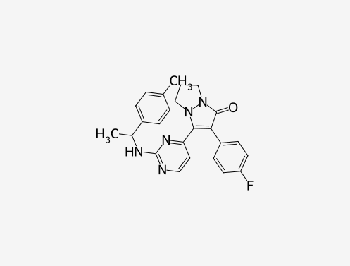 Cc1ccc(C(C)Nc2nccc(-c3c(-c4ccc(F)cc4)c(=O)n4n3CCC4)n2)cc1